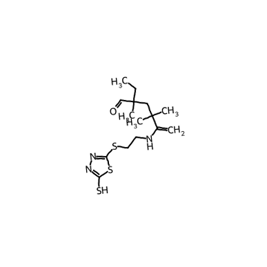 C=C(NCCSc1nnc(S)s1)C(C)(C)CC(C)(C=O)CC